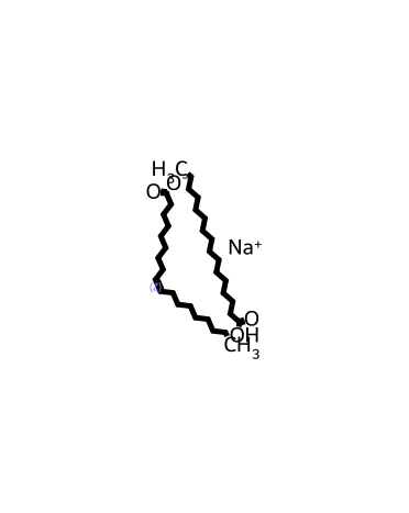 CCCCCCCC/C=C\CCCCCCCC(=O)[O-].CCCCCCCCCCCCCCCC(=O)O.[Na+]